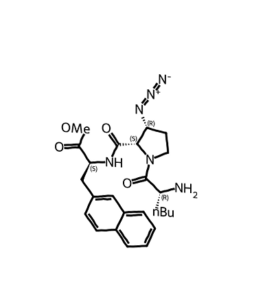 CCCC[C@@H](N)C(=O)N1CC[C@@H](N=[N+]=[N-])[C@H]1C(=O)N[C@@H](Cc1ccc2ccccc2c1)C(=O)OC